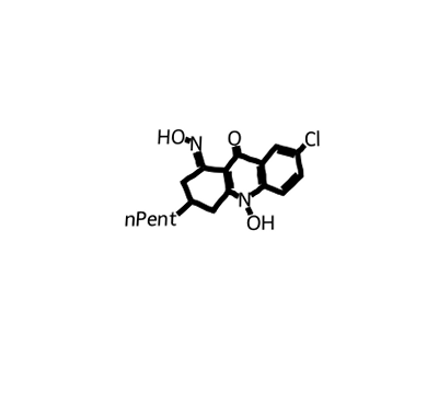 CCCCCC1CC(=NO)c2c(n(O)c3ccc(Cl)cc3c2=O)C1